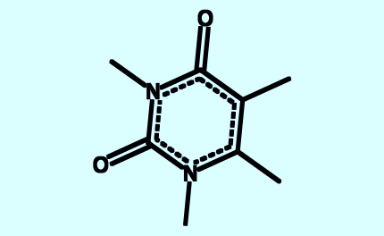 Cc1c(C)n(C)c(=O)n(C)c1=O